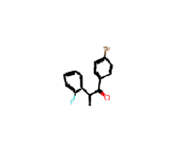 CC(C(=O)c1ccc(Br)cc1)c1ccccc1F